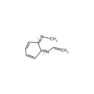 C=C/N=C1/C=CC=C/C1=N/C